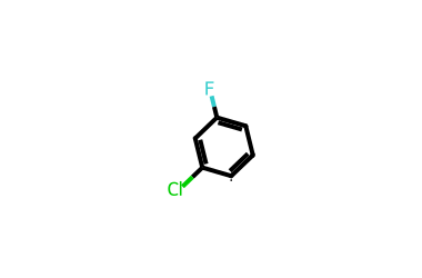 Fc1cc[c]c(Cl)c1